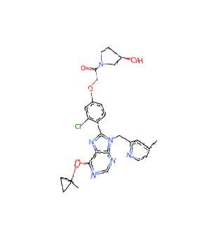 Cc1ccnc(Cn2c(-c3ccc(OCC(=O)N4CC[C@@H](O)C4)cc3Cl)nc3c(OC4(C)CC4)ncnc32)c1